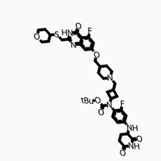 CC(C)(C)OC(=O)N(c1ccc(NC2CCC(=O)NC2=O)cc1F)C1CC(CN2CCC(COc3cc(F)c4c(=O)[nH]c(CSC5CCOCC5)nc4c3)CC2)C1